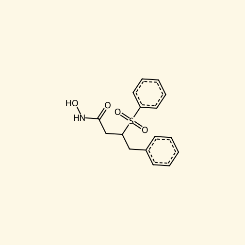 O=C(CC(Cc1ccccc1)S(=O)(=O)c1ccccc1)NO